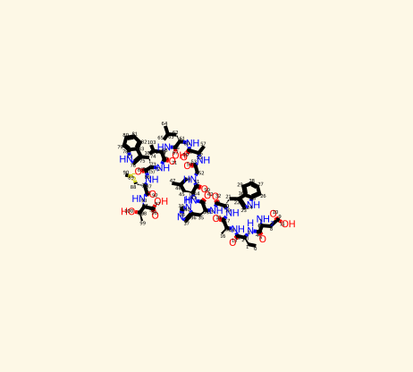 CC[C@H](NC(=O)[C@@H](N)CC(=O)O)C(=O)N[C@@H](C)C(=O)N[C@@H](Cc1c[nH]c2ccccc12)C(=O)N[C@@H](Cc1cnc[nH]1)C(=O)N[C@@H](CC(C)C)C(=O)NCC(=O)NC(C)C(=O)N[C@@H](CC(C)C)C(O)N[C@H](C(=O)N[C@@H](Cc1c[nH]c2ccccc12)C(=O)N[C@@H](CSC)C(=O)N[C@H](C(=O)O)[C@@H](C)O)C(C)C